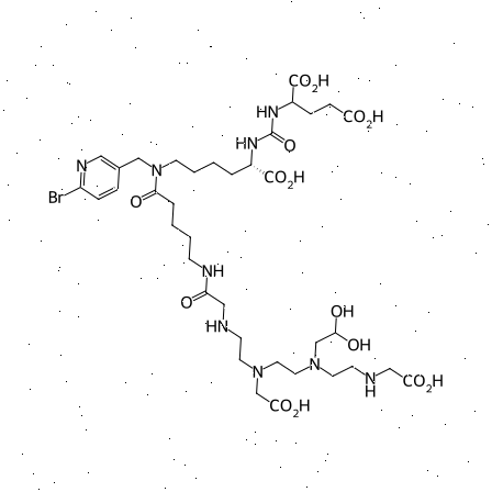 O=C(O)CCC(NC(=O)N[C@@H](CCCCN(Cc1ccc(Br)nc1)C(=O)CCCCNC(=O)CNCCN(CCN(CCNCC(=O)O)CC(O)O)CC(=O)O)C(=O)O)C(=O)O